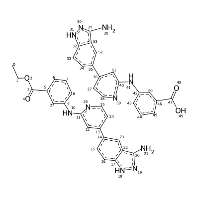 CCOC(=O)c1cccc(Nc2cc(-c3ccc4[nH]nc(N)c4c3)ccn2)c1.Nc1n[nH]c2ccc(-c3ccnc(Nc4cccc(C(=O)O)c4)c3)cc12